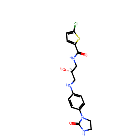 O=C(NC[C@@H](O)CNc1ccc(N2CCNC2=O)cc1)c1ccc(Cl)s1